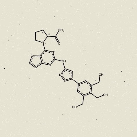 NC(=O)[C@@H]1CCCN1c1nc(Nc2cn(-c3cc(CO)c(CO)c(CO)c3)cn2)nc2ccoc12